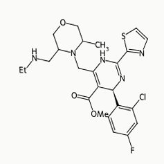 CCNCC1COCC(C)N1CC1=C(C(=O)OC)[C@H](c2ccc(F)cc2Cl)N=C(c2nccs2)N1